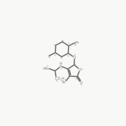 CCCCC(NC1=C(Br)C(=O)OC1OC1CC(C)CCC1C(C)C)C(=O)O